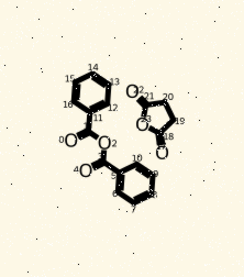 O=C(OC(=O)c1ccccc1)c1ccccc1.O=C1CCC(=O)O1